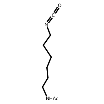 CC(=O)NCCCCCCN=C=O